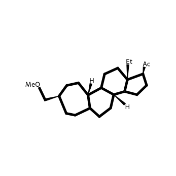 CC[C@]12CCC3[C@@H](CCC4CC[C@@H](COC)CC[C@@H]43)C1CC[C@@H]2C(C)=O